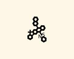 CC1(C)c2ccccc2-c2cc3c(-c4nc5ccccc5s4)c4ccccc4c(-c4ccc5ccccc5c4)c3cc21